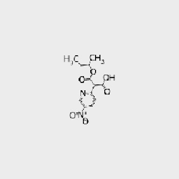 CCC(C)OC(=O)C(C(=O)O)c1ccc([N+](=O)[O-])cn1